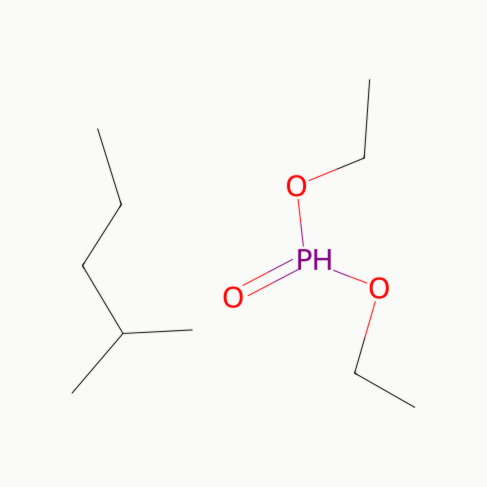 CCCC(C)C.CCO[PH](=O)OCC